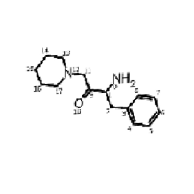 NC(Cc1ccccc1)C(=O)CN1CCCCC1